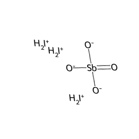 [IH2+].[IH2+].[IH2+].[O]=[Sb]([O-])([O-])[O-]